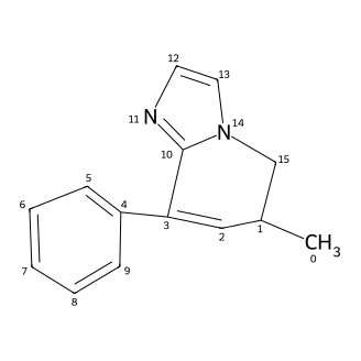 CC1C=C(c2ccccc2)c2nccn2C1